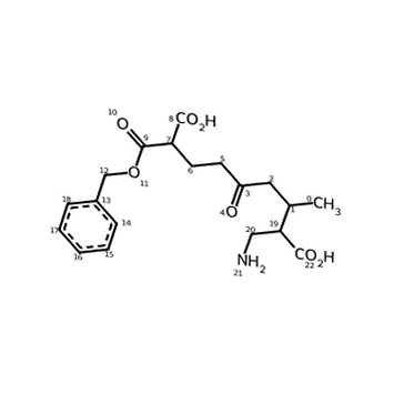 CC(CC(=O)CCC(C(=O)O)C(=O)OCc1ccccc1)C(CN)C(=O)O